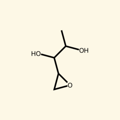 CC(O)C(O)C1CO1